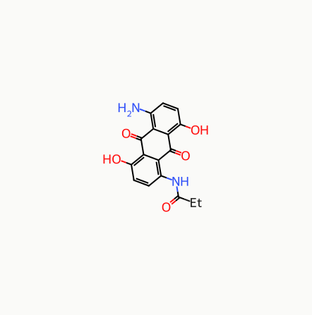 CCC(=O)Nc1ccc(O)c2c1C(=O)c1c(O)ccc(N)c1C2=O